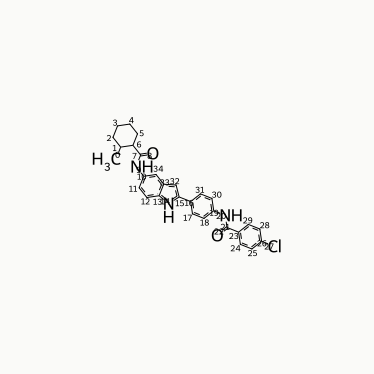 CC1CCCCC1C(=O)Nc1ccc2[nH]c(-c3ccc(NC(=O)c4ccc(Cl)cc4)cc3)cc2c1